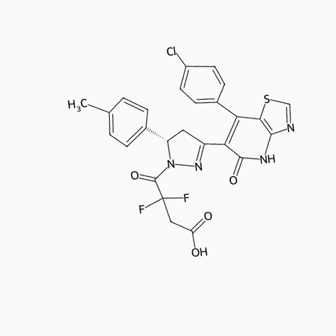 Cc1ccc([C@@H]2CC(c3c(-c4ccc(Cl)cc4)c4scnc4[nH]c3=O)=NN2C(=O)C(F)(F)CC(=O)O)cc1